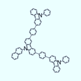 c1ccc(-n2c3ccccc3c3cc(-c4ccc(-c5ccc6c(c5)c5cc(-c7ccc(-c8ccc9c(c8)c8ccccc8n9-c8ccccc8)cc7)ccc5n6-c5ccc6ccccc6c5)cc4)ccc32)cc1